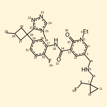 CCn1cc(CNCC2(CF)CC2)cc(C(=O)Nc2cc(C3(c4nncn4C)CC(C)C3)ccc2F)c1=O